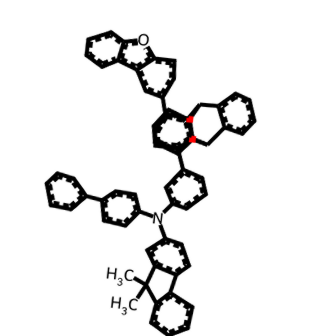 CC1(C)c2ccccc2-c2ccc(N(c3ccc(-c4ccccc4)cc3)c3cccc(-c4ccc(-c5ccc6oc7ccccc7c6c5)c5c4C4c6ccccc6C5c5ccccc54)c3)cc21